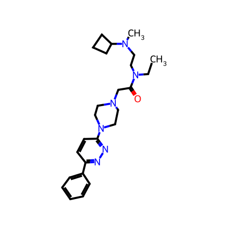 CCN(CCN(C)C1CCC1)C(=O)CN1CCN(c2ccc(-c3ccccc3)nn2)CC1